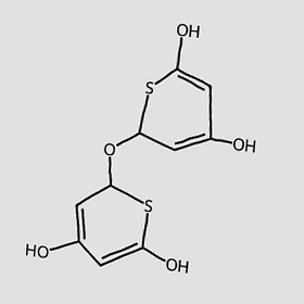 OC1=CC(OC2C=C(O)C=C(O)S2)SC(O)=C1